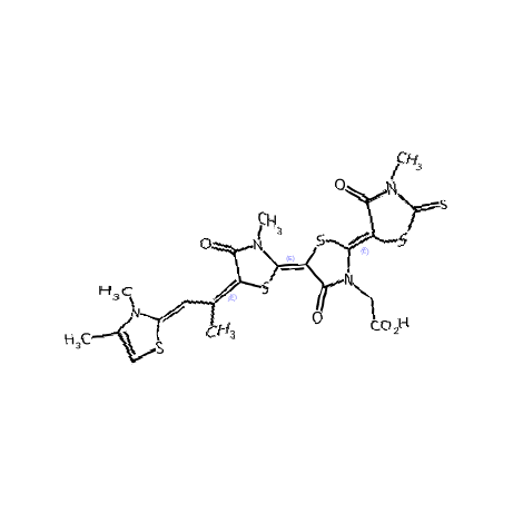 CC1=CSC(=C/C(C)=c2/s/c(=c3/s/c(=C4/SC(=S)N(C)C4=O)n(CC(=O)O)c3=O)n(C)c2=O)N1C